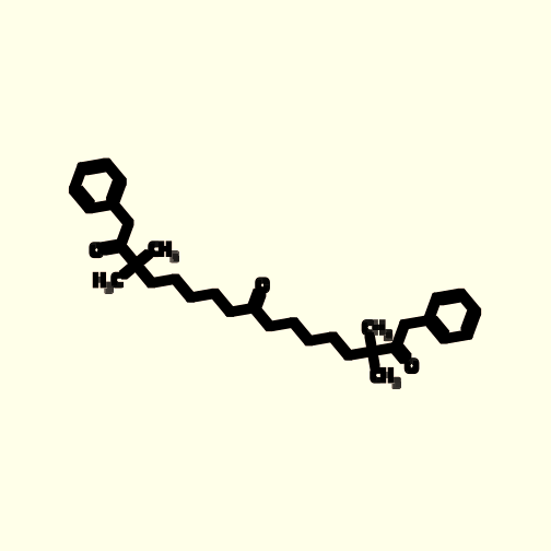 CC(C)(CCCCCC(=O)CCCCCC(C)(C)C(=O)Cc1ccccc1)C(=O)Cc1ccccc1